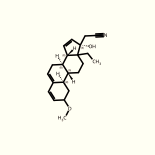 CCC12CC[C@H]3[C@@H](CC=C4C=CC(OC)C[C@@H]43)[C@@H]1C=C[C@@]2(O)CC#N